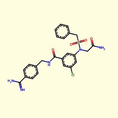 N=C(N)c1ccc(CNC(=O)c2cc(Cl)cc(N(CC(N)=O)S(=O)(=O)Cc3ccccc3)c2)cc1